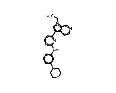 CCn1cc(-c2ccnc(Nc3cccc(N4CCOCC4)c3)n2)c2ccncc21